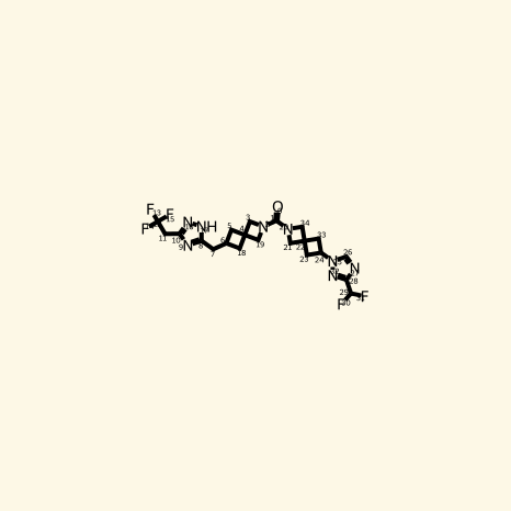 O=C(N1CC2(CC(Cc3nc(CC(F)(F)F)n[nH]3)C2)C1)N1CC2(CC(n3cnc(C(F)F)n3)C2)C1